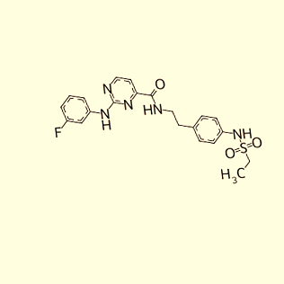 CCS(=O)(=O)Nc1ccc(CCNC(=O)c2ccnc(Nc3cccc(F)c3)n2)cc1